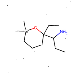 CCC(N)C1(CC)CCC[Si](C)(C)O1